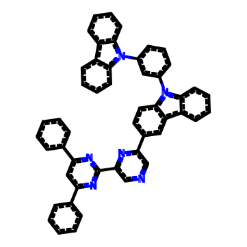 c1ccc(-c2cc(-c3ccccc3)nc(-c3cncc(-c4ccc5c(c4)c4ccccc4n5-c4cccc(-n5c6ccccc6c6ccccc65)c4)n3)n2)cc1